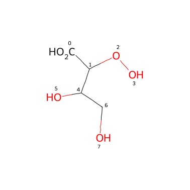 O=C(O)C(OO)C(O)CO